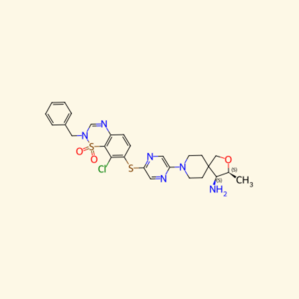 C[C@@H]1OCC2(CCN(c3cnc(Sc4ccc5c(c4Cl)S(=O)(=O)N(Cc4ccccc4)C=N5)cn3)CC2)[C@@H]1N